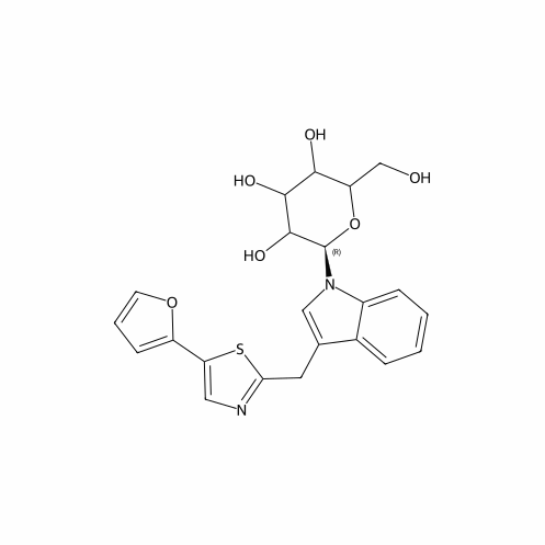 OCC1O[C@@H](n2cc(Cc3ncc(-c4ccco4)s3)c3ccccc32)C(O)C(O)C1O